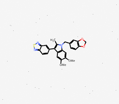 COc1cc2c(-c3ccc4nsnc4c3)c(C)n(Cc3ccc4c(c3)OCO4)c2cc1OC